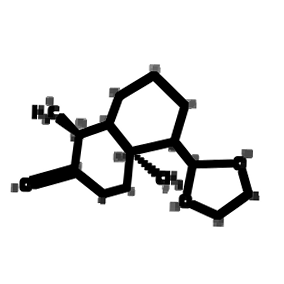 C[C@@H]1C(=O)CC[C@]2(C)C(C3OCCO3)CCCC12